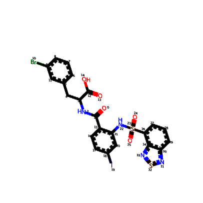 O=C(NC(Cc1cccc(Br)c1)C(=O)O)c1ccc(I)cc1NS(=O)(=O)c1cccc2nsnc12